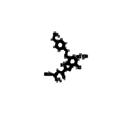 CNC(N)=NC(=O)c1cc2c(Cl)ccc(OCc3ccc(CN)cc3)c2[nH]1.Cl.Cl